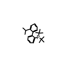 CC(C)c1ccccc1-c1ccccc1P(C(C)(C)C)C(C)(C)C